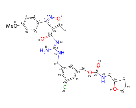 COc1ccc(-c2noc(C)c2C(=O)/N=C(\N)NCc2cc(Cl)cc(COC(=O)NCC3CCCO3)c2)cc1